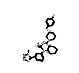 Cn1nnnc1-c1cccc(N(C(N)=O)[C@@H]2CCCC[C@H]2C(=O)N2CCC[C@@H](Cc3ccc(F)cc3)C2)c1